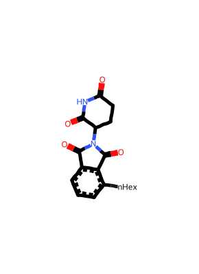 C[CH]CCCCc1cccc2c1C(=O)N(C1CCC(=O)NC1=O)C2=O